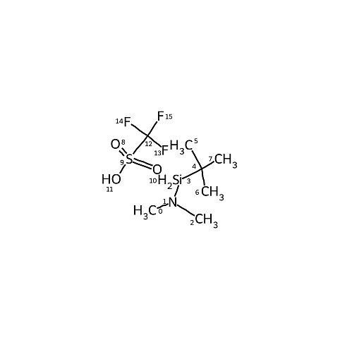 CN(C)[SiH2]C(C)(C)C.O=S(=O)(O)C(F)(F)F